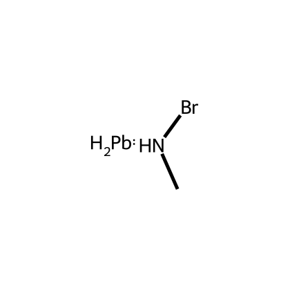 CNBr.[PbH2]